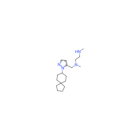 CNCCN(C)Cc1ccnn1C1CCC2(CCCC2)CC1